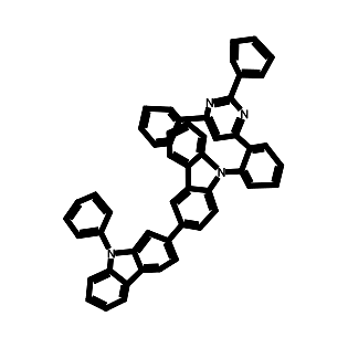 c1ccc(-c2cc(-c3ccccc3-n3c4ccccc4c4cc(-c5ccc6c7ccccc7n(-c7ccccc7)c6c5)ccc43)nc(-c3ccccc3)n2)cc1